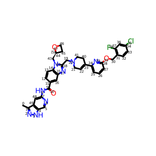 Cc1n[nH]c2cnc(NC(=O)c3ccc4c(c3)nc(CN3CC=C(c5cccc(OCc6ccc(Cl)cc6F)n5)CC3)n4C[C@@H]3CCO3)cc12